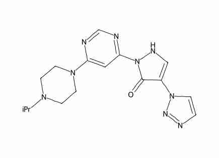 CC(C)N1CCN(c2cc(-n3[nH]cc(-n4ccnn4)c3=O)ncn2)CC1